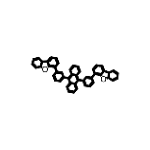 C1=CC2Oc3c(-c4cccc(-c5c6ccccc6c(-c6cccc(-c7cccc8c7OC7C=CC=CC87)c6)c6ccccc56)c4)cccc3C2C=C1